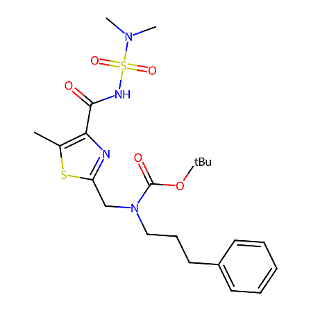 Cc1sc(CN(CCCc2ccccc2)C(=O)OC(C)(C)C)nc1C(=O)NS(=O)(=O)N(C)C